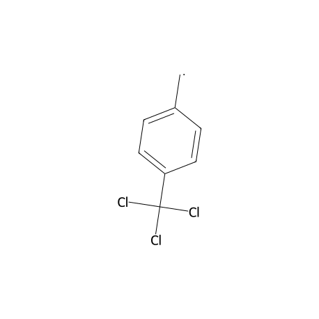 [CH2]c1ccc(C(Cl)(Cl)Cl)cc1